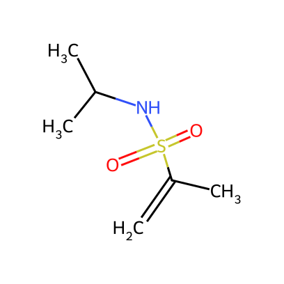 C=C(C)S(=O)(=O)NC(C)C